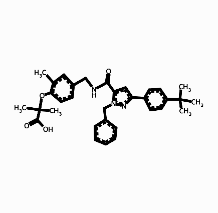 Cc1cc(CNC(=O)c2cc(-c3ccc(C(C)(C)C)cc3)nn2Cc2ccccc2)ccc1OC(C)(C)C(=O)O